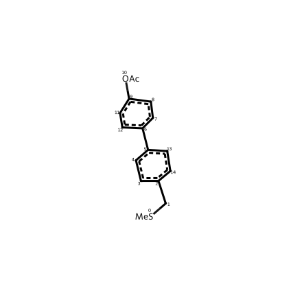 CSCc1ccc(-c2ccc(OC(C)=O)cc2)cc1